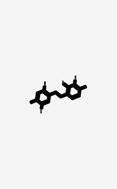 Cc1cc(I)c(CCc2ccc(C)c(I)c2I)cc1I